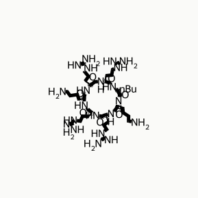 CCCC[C@@H]1NC(=O)[C@H](CCCNC(=N)N)NC(=O)[C@H](CCCNC(=N)N)NC(=O)[C@H](CCCCN)NC(=O)[C@H](CCCNC(=N)N)NC(=O)[C@H](CCCNC(=N)N)NC(=O)[C@H](CCCCN)NC1=O